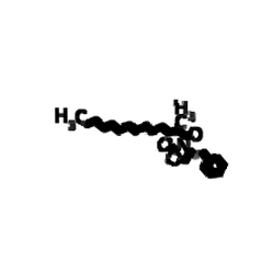 CCCCCCCCCCCCC(C)C(=O)N1C(=O)OC[C@H]1Cc1ccccc1